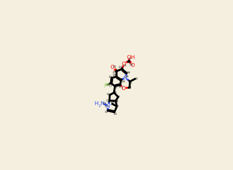 CC1COc2c(C3CC4C5C=C[N+](N)(C5)C4C3)c(F)cc3c(=O)c(OC(=O)O)cn1c23